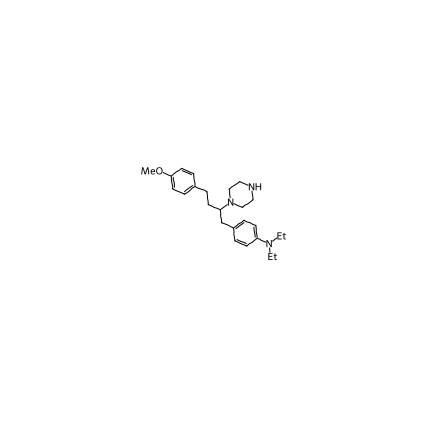 CCN(CC)c1ccc(CC(CCc2ccc(OC)cc2)N2CCNCC2)cc1